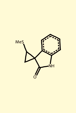 CSC1CC12C(=O)Nc1ccccc12